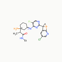 CCNC(=O)C(C)[C@]1(P)CCC/C(=N\c2nc(C34CP3c3ncc(Cl)cc34)ncc2F)C1